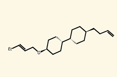 C=CCC[C@H]1CC[C@H]([C@H]2CC[C@H](OC/C=C/CC)CC2)CC1